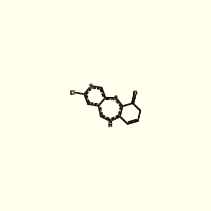 O=C1CC=Cc2[nH]cc3cc(Cl)scc-3sc21